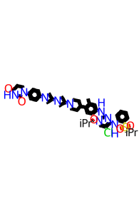 Cc1cc(Nc2ncc(Cl)c(Nc3ccccc3S(=O)(=O)C(C)C)n2)c(OC(C)C)cc1C1CCN(C2CN(C3CN(c4ccc(N5CCC(=O)NC5=O)cc4)C3)C2)CC1